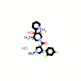 C[C@@H]1CN(C(=O)[C@@H]2CN(C(C)(C)C)C[C@H]2c2ccc(F)cc2F)C[C@H](C)C1(O)c1ccccn1.Cl